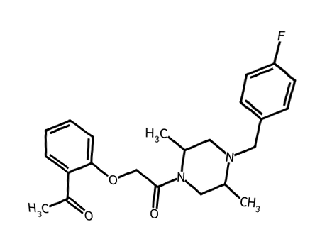 CC(=O)c1ccccc1OCC(=O)N1CC(C)N(Cc2ccc(F)cc2)CC1C